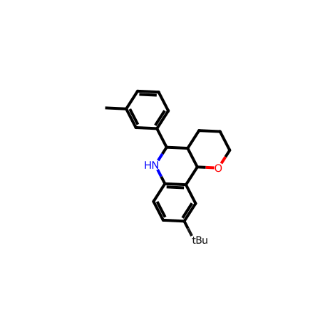 Cc1cccc(C2Nc3ccc(C(C)(C)C)cc3C3OCCCC23)c1